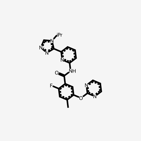 Cc1cc(F)c(C(=O)Nc2cccc(-c3nncn3C(C)C)n2)cc1Oc1ncccn1